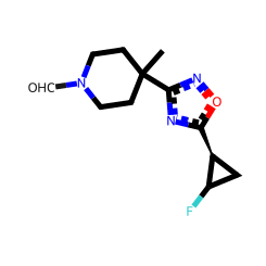 CC1(c2noc([C@H]3CC3F)n2)CCN(C=O)CC1